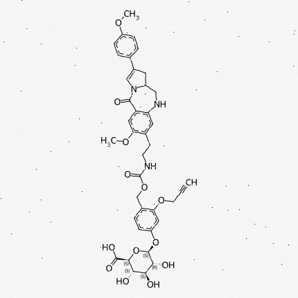 C#CCOc1cc(O[C@@H]2O[C@H](C(=O)O)[C@@H](O)[C@H](O)[C@H]2O)ccc1COC(=O)NCCc1cc2c(cc1OC)C(=O)N1C=C(c3ccc(OC)cc3)CC1CN2